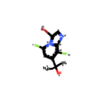 CC(C)(O)c1cc(F)n2c(Br)cnc2c1F